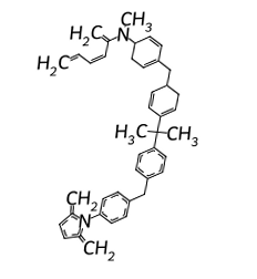 C=C/C=C\C(=C)N(C)C1C=CC(CC2C=CC(C(C)(C)c3ccc(Cc4ccc(-n5c(=C)ccc5=C)cc4)cc3)=CC2)=CC1